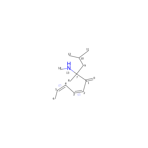 C=C(/C=C\C=C/C)C(C)(CC(C)C)NC